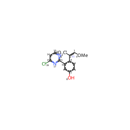 CO/C=C(/C(=O)O)c1ccc(O)cc1-c1nccc(Cl)n1